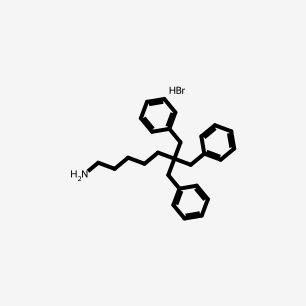 Br.NCCCCCC(Cc1ccccc1)(Cc1ccccc1)Cc1ccccc1